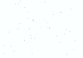 COc1cccc(-c2ccc3nc(-c4cccnc4)nc(NCCC(=O)O)c3c2)c1